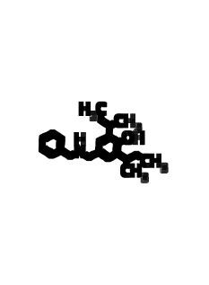 CCC(C)c1cc(CNCc2ccccc2)cc(C(C)CC)c1O